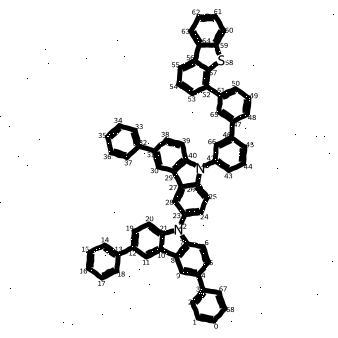 c1ccc(-c2ccc3c(c2)c2cc(-c4ccccc4)ccc2n3-c2ccc3c(c2)c2cc(-c4ccccc4)ccc2n3-c2cccc(-c3cccc(-c4cccc5c4sc4ccccc45)c3)c2)cc1